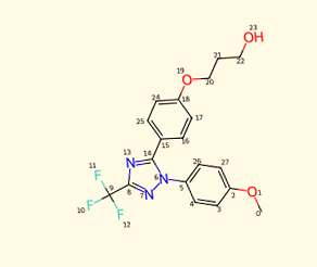 COc1ccc(-n2nc(C(F)(F)F)nc2-c2ccc(OCCCO)cc2)cc1